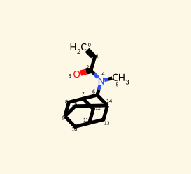 C=CC(=O)N(C)C1C2CC3CC(C2)CC1C3